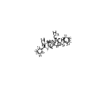 CC(C)N[C@H](CNCC(N)c1ccccc1)COCc1ccccc1